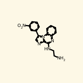 NCCNc1nc2ccccc2n2c(-c3cccc([N+](=O)[O-])c3)cnc12